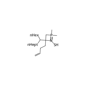 C=CCCC1(C(CCCCCC)CCCCCCC)C[PH](C)(C)N1S